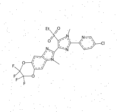 CCS(=O)(=O)c1c(-c2nc3cc4c(cc3n2C)OC(F)(F)C(F)(F)O4)nc(-c2ccc(Cl)cn2)n1C